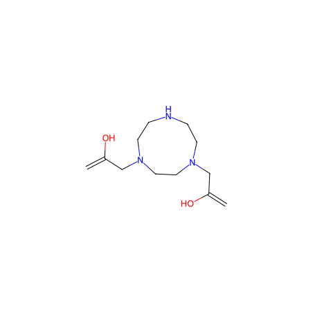 C=C(O)CN1CCNCCN(CC(=C)O)CC1